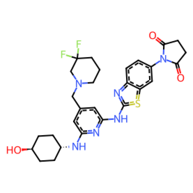 O=C1CCC(=O)N1c1ccc2nc(Nc3cc(CN4CCCC(F)(F)C4)cc(N[C@H]4CC[C@H](O)CC4)n3)sc2c1